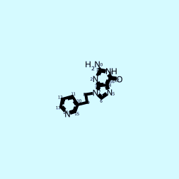 Nc1nc2c(ncn2CCc2cccnc2)c(=O)[nH]1